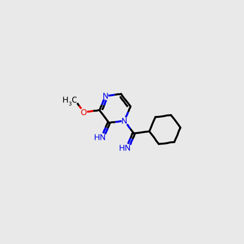 COc1nccn(C(=N)C2CCCCC2)c1=N